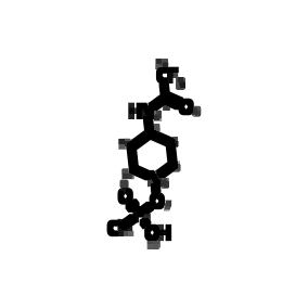 O=C(NC1CCN(OP(=O)(O)Cl)CC1)C(F)(F)F